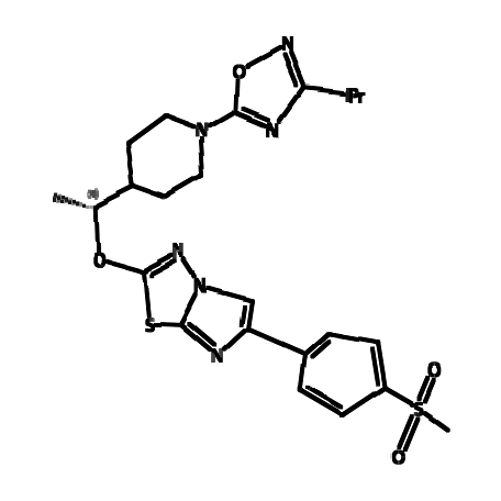 CC(C)c1noc(N2CCC([C@@H](C)Oc3nn4cc(-c5ccc(S(C)(=O)=O)cc5)nc4s3)CC2)n1